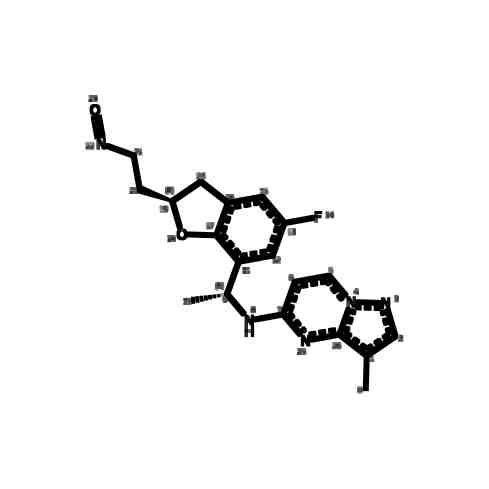 Cc1cnn2ccc(N[C@H](C)c3cc(F)cc4c3O[C@@H](CCN=O)C4)nc12